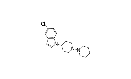 Clc1ccc2c(ccn2C2CCN(N3CCCCC3)CC2)c1